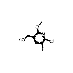 COc1nc(Cl)c(F)cc1CO